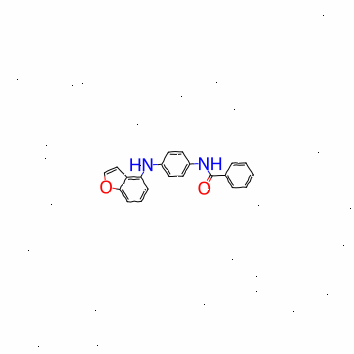 O=C(Nc1ccc(Nc2cccc3occc23)cc1)c1ccccc1